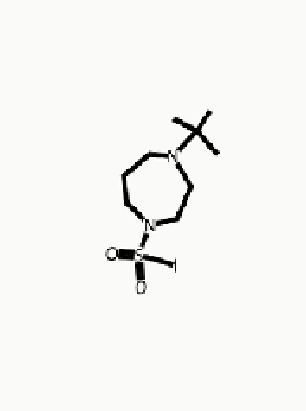 CC(C)(C)N1CCCN(S(=O)(=O)I)CC1